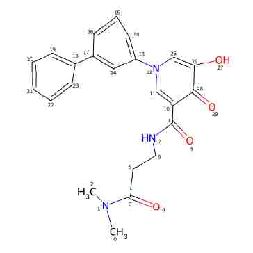 CN(C)C(=O)CCNC(=O)c1cn(-c2cccc(-c3ccccc3)c2)cc(O)c1=O